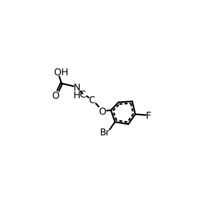 O=C(O)NCCOc1ccc(F)cc1Br